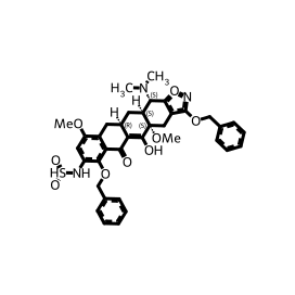 COc1cc(N[SH](=O)=O)c(OCc2ccccc2)c2c1C[C@H]1C[C@H]3[C@H](N(C)C)c4onc(OCc5ccccc5)c4C[C@@]3(OC)C(O)=C1C2=O